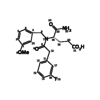 COc1cccc(CN(C(=O)Cc2cccc(F)c2)[C@@H](CCC(=O)O)C(N)=O)c1